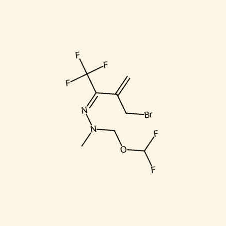 C=C(CBr)/C(=N\N(C)COC(F)F)C(F)(F)F